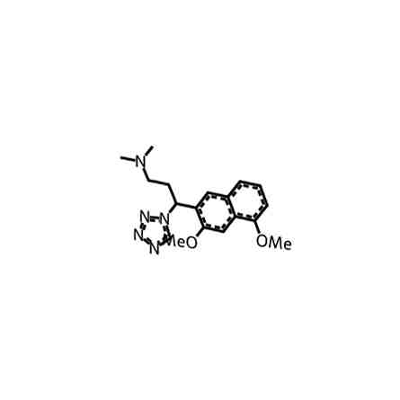 COc1cc2c(OC)cccc2cc1C(CCN(C)C)n1cnnn1